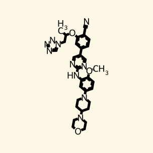 COc1ccc(N2CCC(N3CCOCC3)CC2)cc1Nc1ncc(-c2ccc(C#N)c(OC(C)Cn3cnnn3)c2)cn1